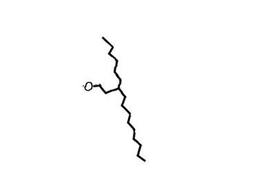 CCCCCCCCCC(CC[O])CCCCCC